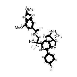 COc1nc2c(OC)cc(C(=O)NC[C@](O)(c3cc4c(c(-c5ccc(F)cc5)n3)OC[C@]4(C)C(N)=O)C(F)(F)F)cc2s1